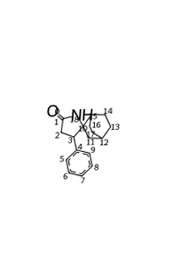 O=C1CC(c2ccccc2)C2(CC3CCC2CC3)N1